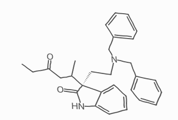 CCC(=O)CC(C)[C@]1(CCN(Cc2ccccc2)Cc2ccccc2)C(=O)Nc2ccccc21